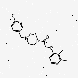 Cc1cccc(OCC(=O)N2CCN(Cc3ccc(Cl)cc3)CC2)c1C